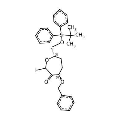 CC(C)(C)[Si](OC[C@@H]1CC[C@@H](OCc2ccccc2)C(=O)C(I)O1)(c1ccccc1)c1ccccc1